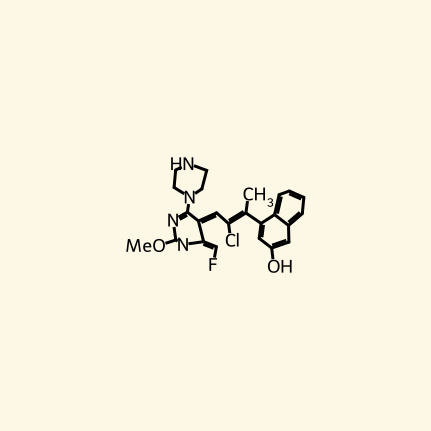 COc1nc(N2CCNCC2)c(=C/C(Cl)=C(\C)c2cc(O)cc3ccccc23)/c(=C/F)n1